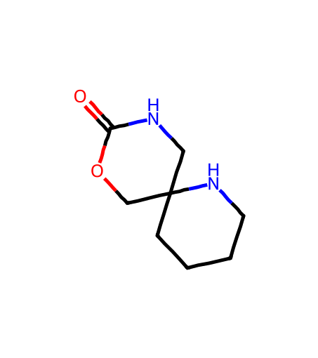 O=C1NCC2(CCCCN2)CO1